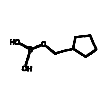 OB(O)OCC1CCCC1